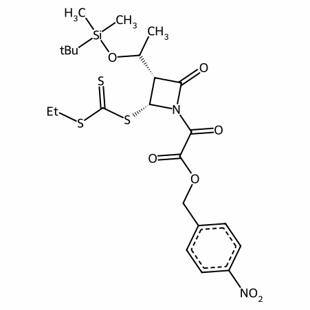 CCSC(=S)S[C@@H]1[C@H](C(C)O[Si](C)(C)C(C)(C)C)C(=O)N1C(=O)C(=O)OCc1ccc([N+](=O)[O-])cc1